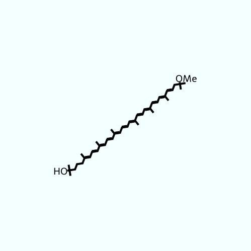 COC(C)(C)C/C=C/C(C)=C/C=C/C(C)=C/C=C/C(C)=C/C=C/C=C(C)/C=C/C=C(C)/C=C/C=C(\C)CCCC(C)(C)O